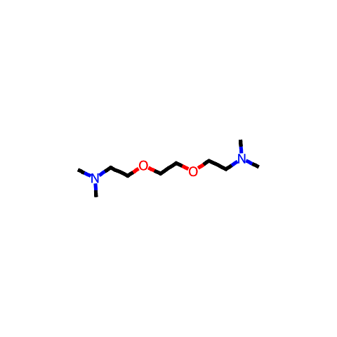 CN(C)CCOCCOCCN(C)C